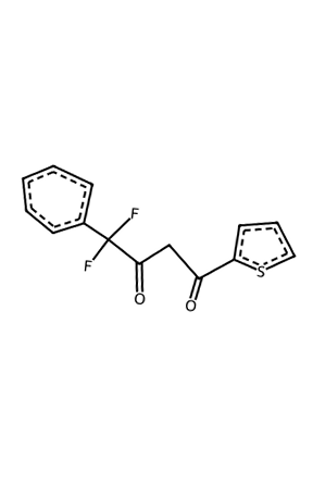 O=C(CC(=O)C(F)(F)c1ccccc1)c1cccs1